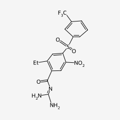 CCc1cc(S(=O)(=O)c2cccc(C(F)(F)F)c2)c([N+](=O)[O-])cc1C(=O)N=C(N)N